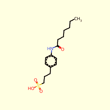 CCCCCCC(=O)Nc1ccc(CCCS(=O)(=O)O)cc1